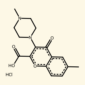 Cc1ccc2oc(C(=O)O)c(N3CCN(C)CC3)c(=O)c2c1.Cl